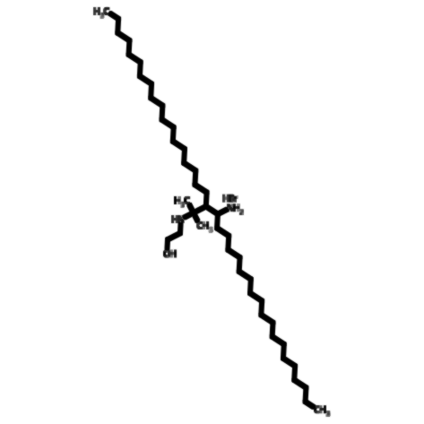 Br.CCCCCCCCCCCCCCCCCCC(N)C(CCCCCCCCCCCCCCCCCC)C(C)(C)NCCO